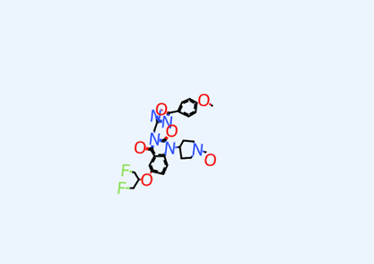 COc1ccc(-c2nc(Cn3c(=O)c4cc(OC(CF)CF)ccc4n(C4CCN(C=O)CC4)c3=O)no2)cc1